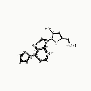 OC[C@@H]1CC(O)[C@H](n2cnc3c(-c4cccs4)ccnc32)O1